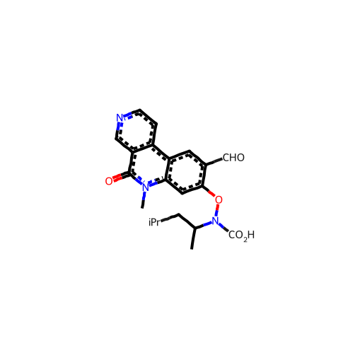 CC(C)CC(C)N(Oc1cc2c(cc1C=O)c1ccncc1c(=O)n2C)C(=O)O